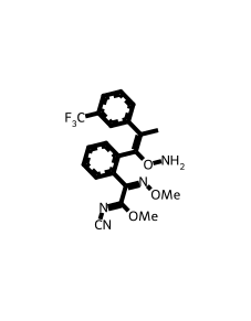 CON=C(C(=NC#N)OC)c1ccccc1C(ON)=C(C)c1cccc(C(F)(F)F)c1